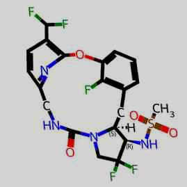 CS(=O)(=O)N[C@@H]1[C@@H]2Cc3cccc(c3F)Oc3nc(ccc3C(F)F)CNC(=O)N2CC1(F)F